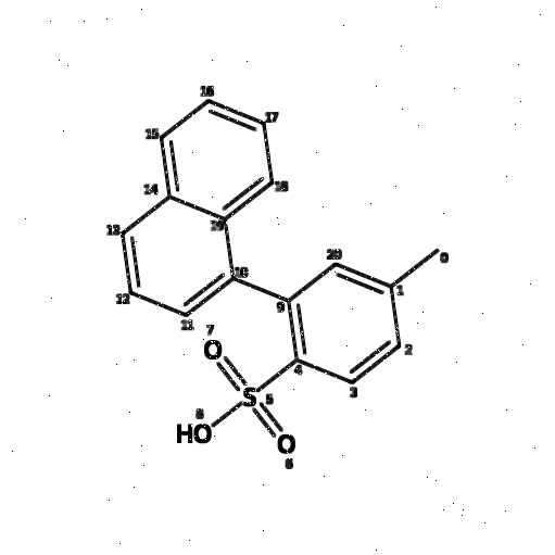 Cc1ccc(S(=O)(=O)O)c(-c2cccc3ccccc23)c1